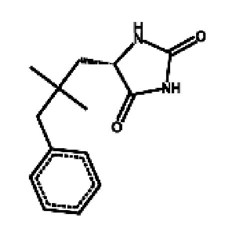 CC(C)(Cc1ccccc1)C[C@@H]1NC(=O)NC1=O